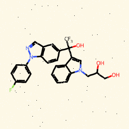 OCC(O)Cn1cc(C(O)(c2ccc3c(cnn3-c3ccc(F)cc3)c2)C(F)(F)F)c2ccccc21